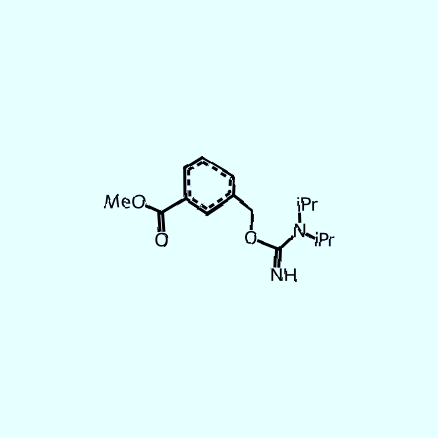 COC(=O)c1cccc(COC(=N)N(C(C)C)C(C)C)c1